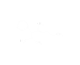 CCC/C=C(\C)C(c1ccccc1)C(C)C